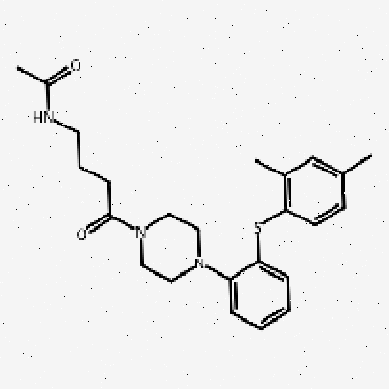 CC(=O)NCCCC(=O)N1CCN(c2ccccc2Sc2ccc(C)cc2C)CC1